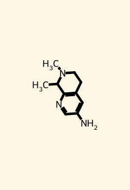 CC1c2ncc(N)cc2CCN1C